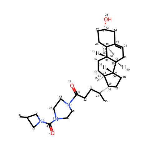 CC1CN(C(=O)N2CCN(C(=O)CCC(C)[C@H]3CC[C@H]4[C@@H]5CC=C6C[C@@H](O)CC[C@]6(C)[C@H]5CC[C@]34C)CC2)C1